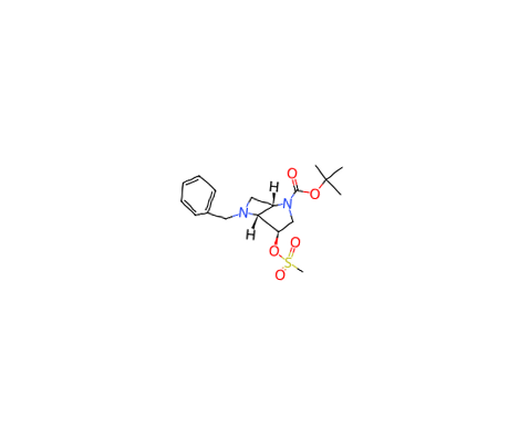 CC(C)(C)OC(=O)N1C[C@@H](OS(C)(=O)=O)[C@H]2[C@@H]1CN2Cc1ccccc1